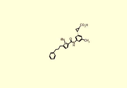 CCC(C)n1c(CCCc2ccccc2)ccc1C(=O)Nc1cc(C)cc([C@@H]2C[C@H]2C(=O)O)c1